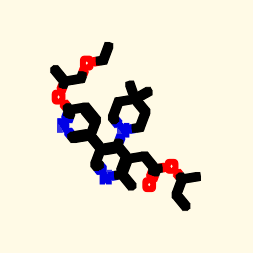 CCOCC(C)Oc1ccc(-c2cnc(C)c(CC(=O)OC(C)CC)c2N2CCC(C)(C)CC2)cn1